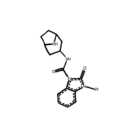 CC(C)n1c(=O)n(C(=O)NC2CC3CCC(C2)N3)c2ccccc21